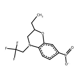 CCC1CN(CC(F)(F)F)c2ccc([N+](=O)[O-])cc2O1